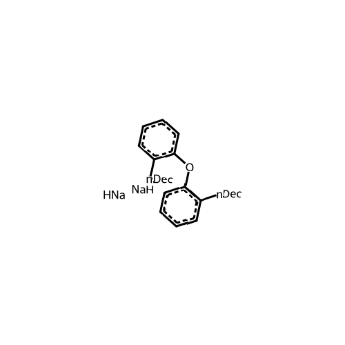 CCCCCCCCCCc1ccccc1Oc1ccccc1CCCCCCCCCC.[NaH].[NaH]